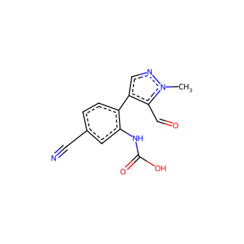 Cn1ncc(-c2ccc(C#N)cc2NC(=O)O)c1C=O